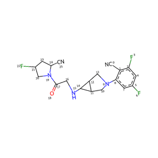 N#Cc1c(F)cc(F)cc1N1CC2C(C1)C2NCC(=O)N1CC(F)CC1C#N